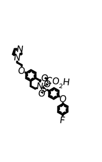 O=C(O)OC1c2ccc(OCCn3ccnc3)cc2CCN1S(=O)(=O)c1ccc(Oc2ccc(F)cc2)cc1